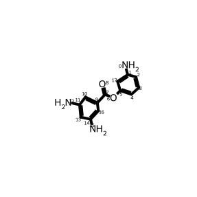 Nc1cccc(OC(=O)c2cc(N)cc(N)c2)c1